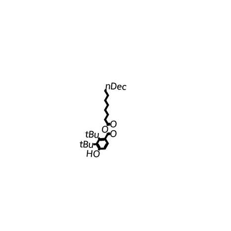 CCCCCCCCCCCCCCCCCC(=O)OC(=O)c1ccc(O)c(C(C)(C)C)c1C(C)(C)C